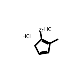 CC1=[C]([Zr])CC=C1.Cl.Cl